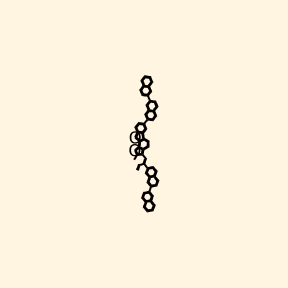 C=C/C(=C\c1c(C)oc2c1ccc1c3cc(-c4ccc5ccc(-c6ccc7ccccc7c6)cc5c4)ccc3oc12)c1ccc2ccc(-c3ccc4ccccc4c3)cc2c1